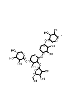 C[C@@H]1OC[C@@H](O[C@@H]2OC[C@@H](O[C@@H]3OC[C@@H](O[C@@H]4OC[C@@H](O)C(O)C4O)C(O)C3O[C@@H]3O[C@@H](CO)C(O)C3O)C(O)C2O)C(O)C1O